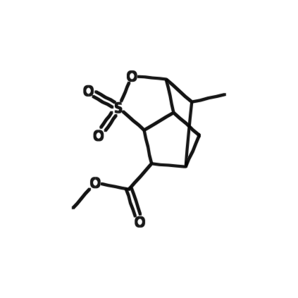 COC(=O)C1C2CC3C(OS(=O)(=O)C31)C2C